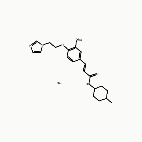 COc1cc(C=CC(=O)NC2CCC(C)CC2)ccc1OCCn1ccnc1.Cl